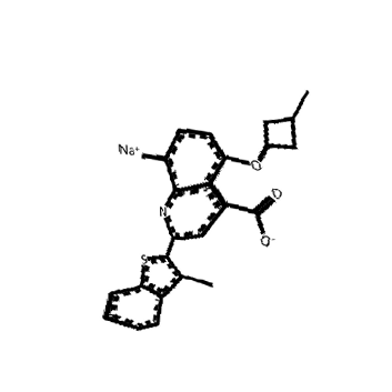 Cc1c(-c2cc(C(=O)[O-])c3c(OC4CC(C)C4)ccc(C)c3n2)sc2ccccc12.[Na+]